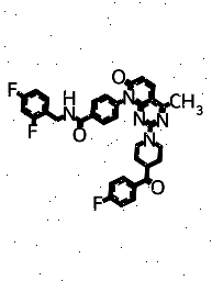 Cc1nc(N2CCC(C(=O)c3ccc(F)cc3)CC2)nc2c1ccc(=O)n2-c1ccc(C(=O)NCc2ccc(F)cc2F)cc1